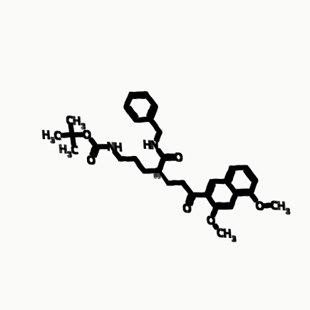 COc1cc2c(OC)cccc2cc1C(=O)CC[C@@H](CCCNC(=O)OC(C)(C)C)C(=O)NCc1ccccc1